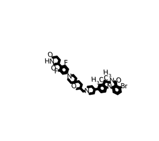 CC1(C)c2cc(C3CCN(CC4CCC5(CCN(c6cc(F)c(C7CCC(=O)NC7=O)c(F)c6)CC5)OC4)CC3)ccc2-n2c1nc(=O)c1c(Br)cccc12